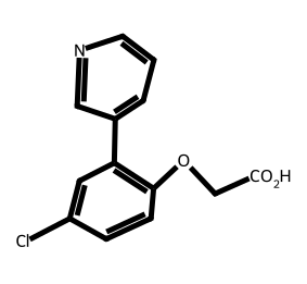 O=C(O)COc1ccc(Cl)cc1-c1cccnc1